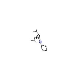 CC(C)[CH2][Al](/[CH]=C/c1ccccc1)[CH2]C(C)C